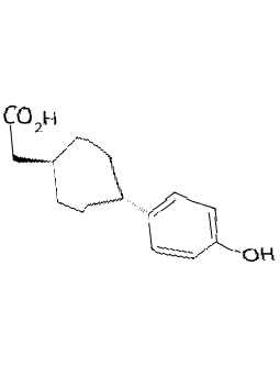 O=C(O)C[C@H]1CC[C@H](c2ccc(O)cc2)CC1